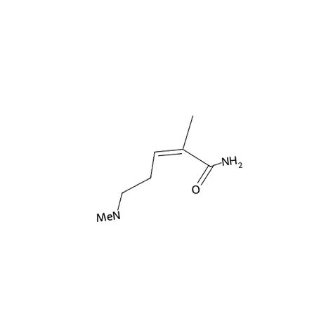 CNCCC=C(C)C(N)=O